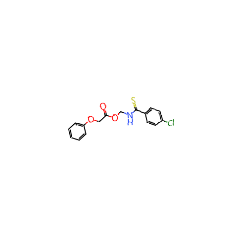 O=C(COc1ccccc1)OCNC(=S)c1ccc(Cl)cc1